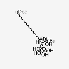 CCCCCCCCCCCCCCCCCCCCCCCCCCCCCC(=O)N[C@@H](CO[C@H]1O[C@H](CO)[C@H](O)[C@H](O)[C@H]1O)[C@H](O)[C@H](O)CCCC